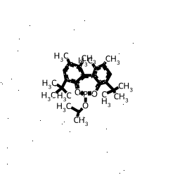 Cc1cc(C(C)(C)C)c2op(OC(C)C)oc3c(C(C)(C)C)cc(C)c(C)c3c2c1C